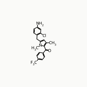 Cc1cc(Cc2ccc(N)cc2Cl)n(C)c1C(=O)c1ccc(C(F)(F)F)cc1